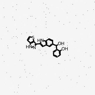 Oc1ccccc1C(O)c1ccc2[nH]c(-c3n[nH]c4ccsc34)cc2c1